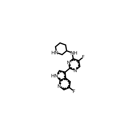 Fc1cnc2[nH]cc(-c3ncc(F)c(NC4CCCNC4)n3)c2c1